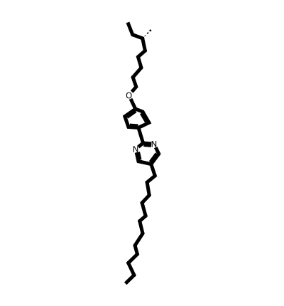 CCCCCCCCCCCCc1cnc(-c2ccc(OCCCCC[C@@H](C)CC)cc2)nc1